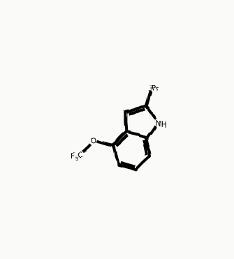 CC(C)c1cc2c(OC(F)(F)F)cccc2[nH]1